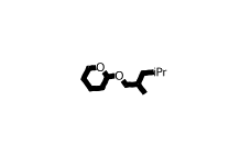 CC(C)CC(C)COC1CCCCO1